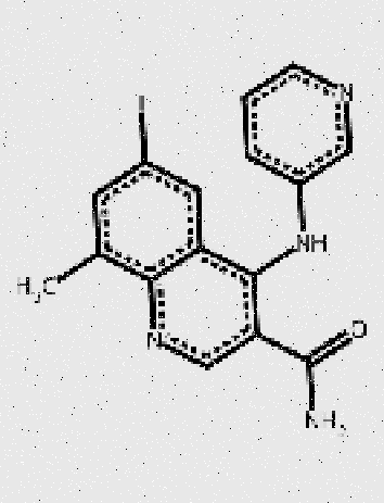 Cc1cc(I)cc2c(Nc3cccnc3)c(C(N)=O)cnc12